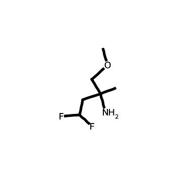 COCC(C)(N)CC(F)F